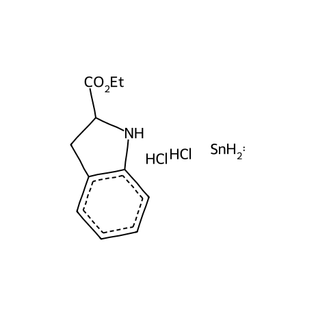 CCOC(=O)C1Cc2ccccc2N1.Cl.Cl.[SnH2]